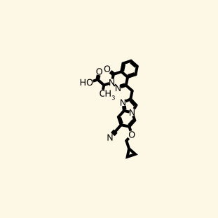 CC(C(=O)O)n1nc(Cc2cn3cc(OCC4CC4)c(C#N)cc3n2)c2ccccc2c1=O